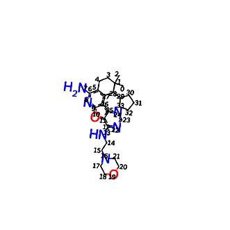 CC1(C)CCc2c(N)nc3oc4c(NCCN5CCOCC5)ncnc4c3c2C1C1CCCC1